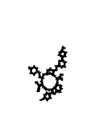 C#C/C(Cl)=C1\C=C/Cc2c(-c3ccc(F)cc3)sc3ncnc(c23)O[C@@H](C(=O)O)Cc2cc(ccc2OCc2ccnc(-c3ccc(O)cc3)n2)CN(CCN2CCN(C)CC2)C1